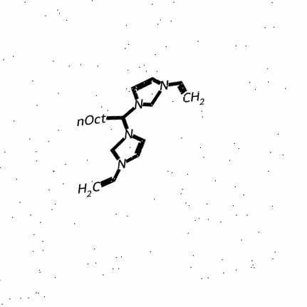 C=CN1C=CN(C(CCCCCCCC)N2C=CN(C=C)C2)C1